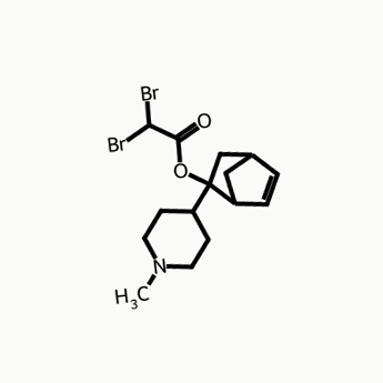 CN1CCC(C2(OC(=O)C(Br)Br)CC3C=CC2C3)CC1